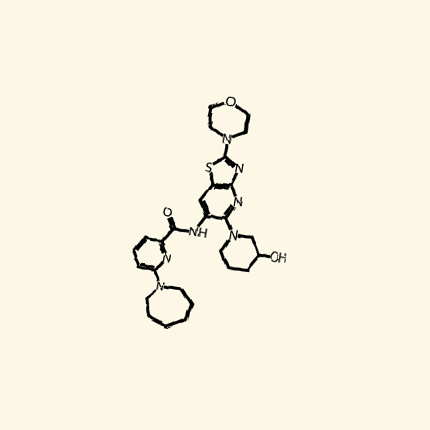 O=C(Nc1cc2sc(N3CCOCC3)nc2nc1N1CCCC(O)C1)c1cccc(N2CCCCCC2)n1